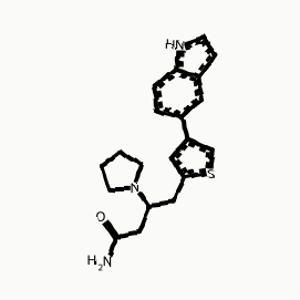 NC(=O)CC(Cc1cc(-c2ccc3[nH]ccc3c2)cs1)N1CCCC1